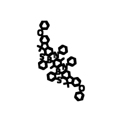 Cc1c2c(c(C)c3c1B1c4ccccc4Sc4c1c(cc1c4C(C)(C)c4cc(Oc5ccccc5)ccc4-1)N3c1ccccc1)N(c1ccccc1)c1cc3c(c4c1B2c1ccccc1S4)C(C)(C)c1cc(Oc2ccccc2)ccc1-3